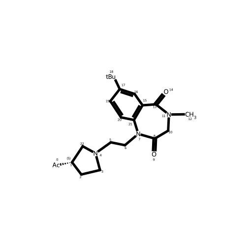 CC(=O)[C@H]1CCN(CCN2C(=O)CN(C)C(=O)c3cc(C(C)(C)C)ccc32)C1